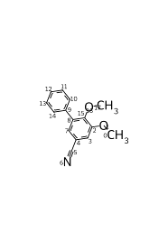 COc1cc(C#N)cc(-c2ccccc2)c1OC